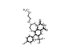 COCCO[C@H]1CSc2c(-c3ccc(F)cc3)c(C(F)(F)F)cc3c(=O)[nH]c(=O)n(c23)C1